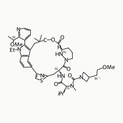 CCn1c(-c2cccnc2[C@H](C)OC)c2c3cc(ccc31)-c1csc(n1)C[C@H](NC(=O)[C@H](C(C)C)N(C)C(=O)N1CC([C@@H](C)COC)C1)C(=O)N1CCC[C@H](N1)C(=O)OCC(C)(C)C2